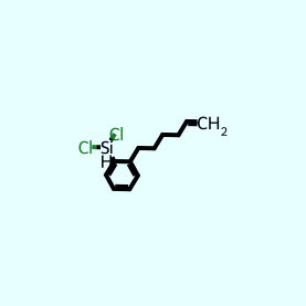 C=CCCCCc1ccccc1[SiH](Cl)Cl